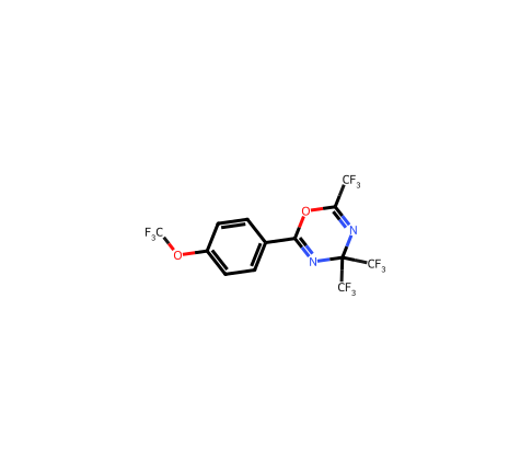 FC(F)(F)Oc1ccc(C2=NC(C(F)(F)F)(C(F)(F)F)N=C(C(F)(F)F)O2)cc1